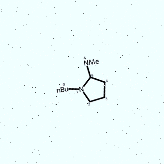 CCCCN1CCCC1NC